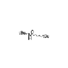 CC(C)(C)CCCCCC(=O)NCCC(C)(C)C